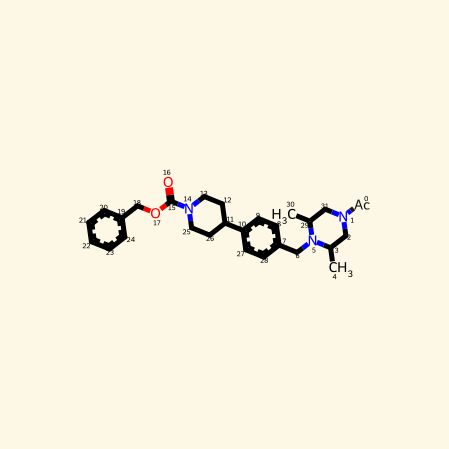 CC(=O)N1CC(C)N(Cc2ccc(C3CCN(C(=O)OCc4ccccc4)CC3)cc2)C(C)C1